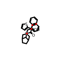 O=C(OC1C2CCC1CN(Cc1ccccc1)C2)C(O)(c1ccccc1)c1cccs1